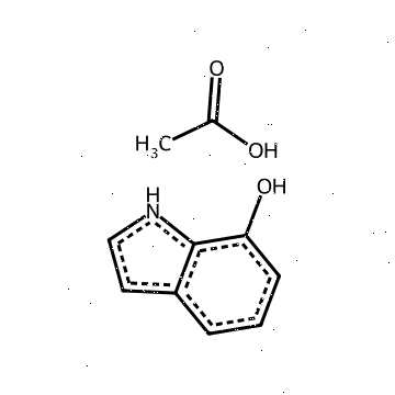 CC(=O)O.Oc1cccc2cc[nH]c12